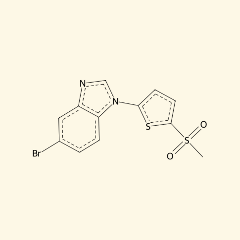 CS(=O)(=O)c1ccc(-n2cnc3cc(Br)ccc32)s1